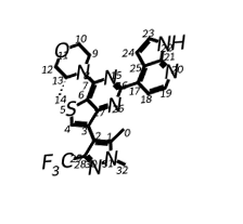 Cc1c(-c2csc3c(N4CCOC[C@H]4C)nc(-c4ccnc5[nH]ccc45)nc23)c(C(F)(F)F)nn1C